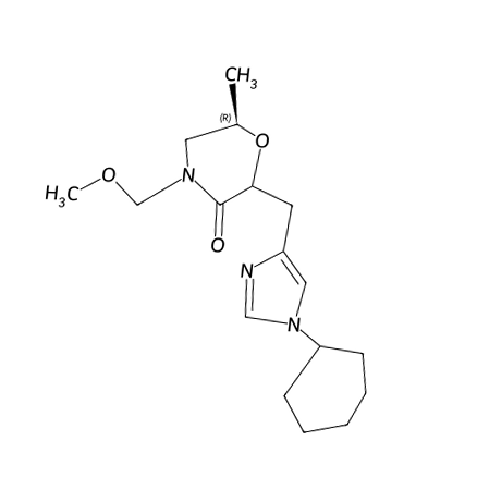 COCN1C[C@@H](C)OC(Cc2cn(C3CCCCC3)cn2)C1=O